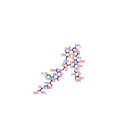 CC(NC(=O)C(CC(N)=O)NC(=O)C(CO)NC(=O)CNC(=O)C(N)CO)C(=O)NC(C(=O)NCC(=O)NC(CO)C(=O)NCC(=O)NC(CO)C(=O)NC(CC(N)=O)C(=O)NC(C)C(=O)NC(C(=O)NC(CO)C(=O)NCC(=O)NC(CO)C(=O)O)C(C)O)C(C)O